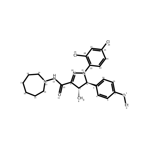 CCOc1ccc([C@H]2[C@H](C)C(C(=O)NN3CCCCCC3)=NN2c2ccc(Cl)cc2Cl)cc1